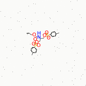 C=CCOC(=O)NC(COS(=O)(=O)c1ccc(C)cc1)COS(=O)(=O)c1ccc(C)cc1